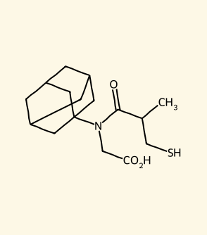 CC(CS)C(=O)N(CC(=O)O)C12CC3CC(CC(C3)C1)C2